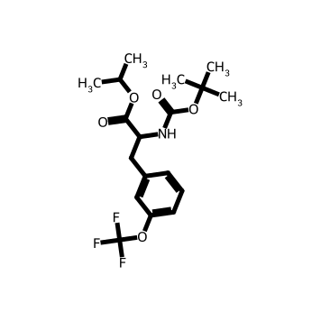 CC(C)OC(=O)C(Cc1cccc(OC(F)(F)F)c1)NC(=O)OC(C)(C)C